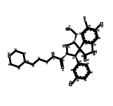 CC(C)(C)C[C@H]1N[C@@H](C(=O)NCCCN2CCOCC2)[C@H](c2cccc(Cl)c2)[C@@]12C(=O)Nc1cc(Cl)c(F)cc12